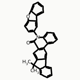 CC1(C)c2ccccc2-c2cc3c(cc21)c(=O)n(-c1ccc2oc4ccccc4c2c1)c1ccccc31